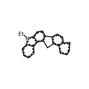 CCn1c2ccccc2c2c3c(ccc21)-c1ccc2ccccc2c1C3